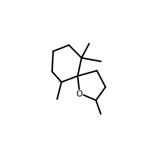 C[C]1CCCC(C)(C)C12CCC(C)O2